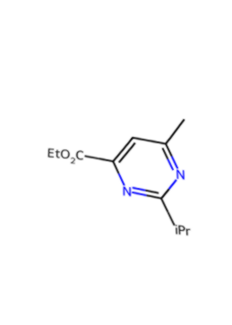 CCOC(=O)c1cc(C)nc(C(C)C)n1